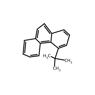 CC(C)(C)c1cccc2ccc3[c]cccc3c12